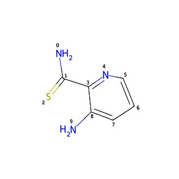 NC(=S)c1ncccc1N